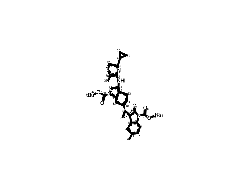 Cc1ccc2c(c1)[C@]1(C[C@H]1c1ccc3c(Nc4nc(C5CC5)cnc4C)nn(C(=O)OC(C)(C)C)c3c1)C(=O)N2C(=O)OC(C)(C)C